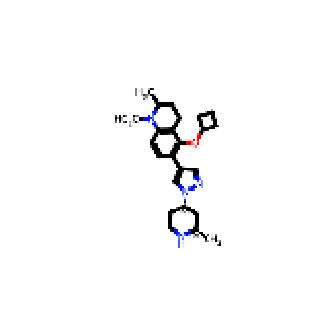 CC1CCc2c(ccc(-c3cnn([C@H]4CCN[C@H](C)C4)c3)c2OC2CCC2)N1C(=O)O